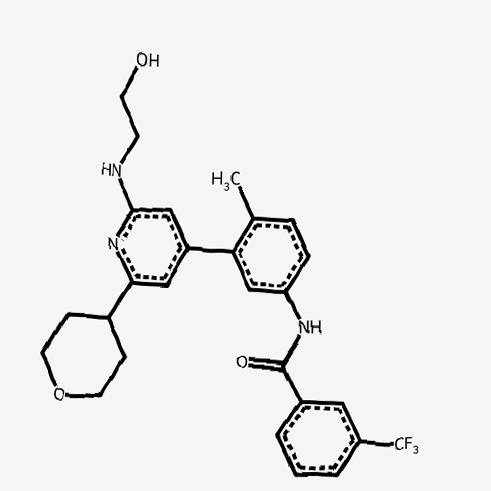 Cc1ccc(NC(=O)c2cccc(C(F)(F)F)c2)cc1-c1cc(NCCO)nc(C2CCOCC2)c1